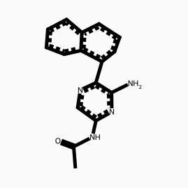 CC(=O)Nc1cnc(-c2cccc3ccccc23)c(N)n1